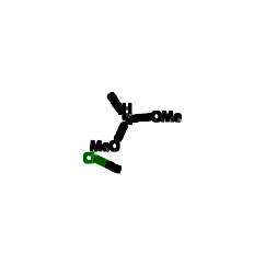 CCl.CO[SiH](C)OC